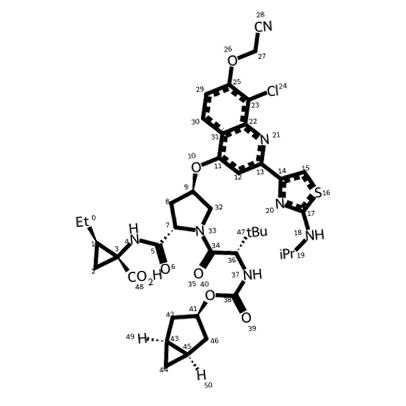 CC[C@@H]1C[C@]1(NC(=O)[C@@H]1C[C@@H](Oc2cc(-c3csc(NC(C)C)n3)nc3c(Cl)c(OCC#N)ccc23)CN1C(=O)[C@@H](NC(=O)O[C@@H]1C[C@@H]2C[C@@H]2C1)C(C)(C)C)C(=O)O